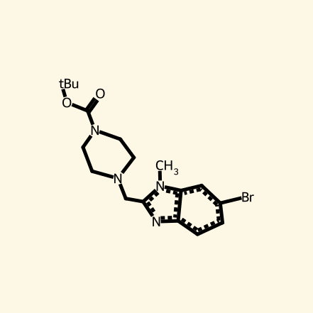 Cn1c(CN2CCN(C(=O)OC(C)(C)C)CC2)nc2ccc(Br)cc21